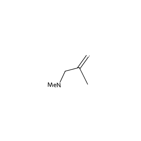 [CH]=C(C)CNC